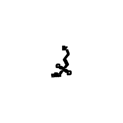 CCCCS(=O)(=O)C=CCBr